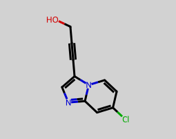 OCC#Cc1cnc2cc(Cl)ccn12